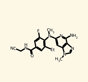 CCc1cc(C(=O)NCC#N)cc(F)c1N(C)c1cc2c(ncn2C)c(N)n1